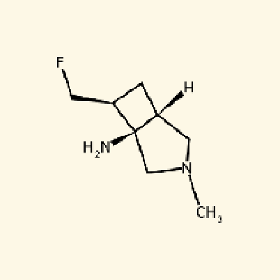 CN1C[C@H]2C[C@H](CF)[C@@]2(N)C1